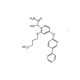 NC(=O)C(O)c1ccc(Oc2ccc(-c3ccccc3)cc2)cc1OCCCC(=O)O